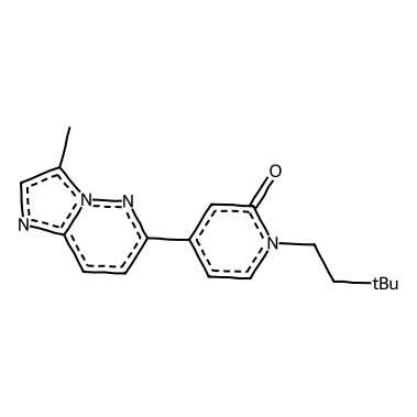 Cc1cnc2ccc(-c3ccn(CCC(C)(C)C)c(=O)c3)nn12